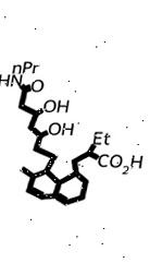 CCCNC(=O)CC(O)CC(O)CCC1C(C)C=CC2=CCCC(CC(CC)C(=O)O)C21